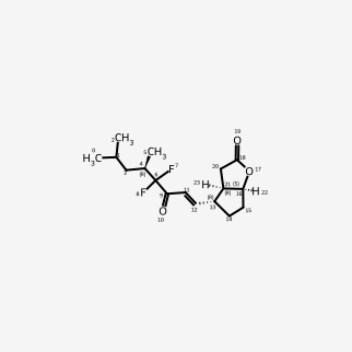 CC(C)C[C@@H](C)C(F)(F)C(=O)C=C[C@H]1CC[C@@H]2OC(=O)C[C@@H]21